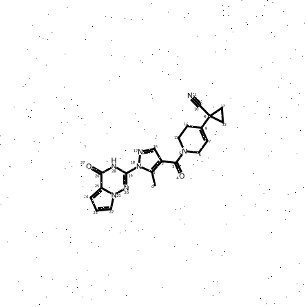 Cc1c(C(=O)N2CC=C(C3(C#N)CC3)CC2)cnn1-c1nn2cccc2c(=O)[nH]1